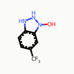 ON1NNc2ccc(C(F)(F)F)cc21